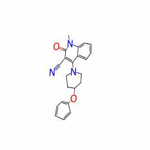 Cn1c(=O)c(C#N)c(N2CCC(Oc3ccccc3)CC2)c2ccccc21